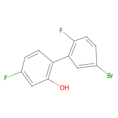 Oc1cc(F)ccc1-c1cc(Br)ccc1F